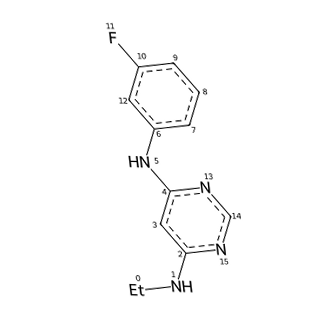 CCNc1cc(Nc2cccc(F)c2)ncn1